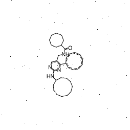 O=C(NCc1cnc(NC2CCCCCCCCCC2)nc1-c1ccccccccc1)C1CCCCCCC1